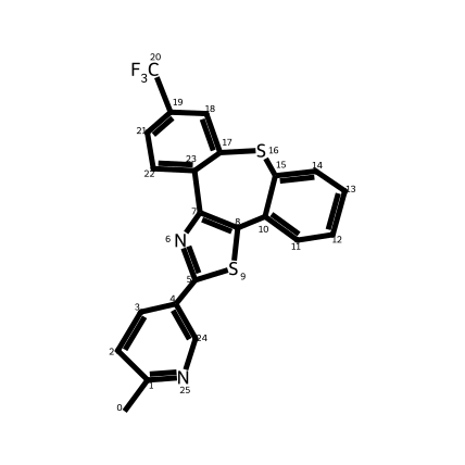 Cc1ccc(-c2nc3c(s2)-c2ccccc2Sc2cc(C(F)(F)F)ccc2-3)cn1